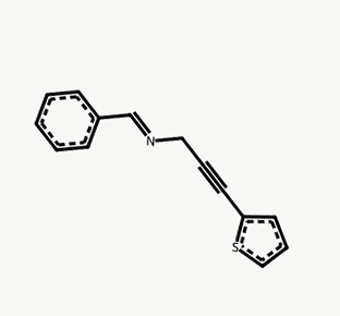 C(#Cc1cccs1)C/N=C/c1ccccc1